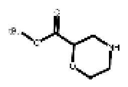 CC(C)(C)OC(=O)[C]1CNCCO1